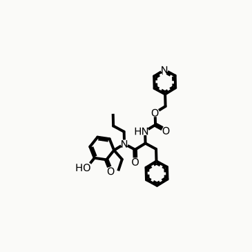 CCCN(C(=O)C(Cc1ccccc1)NC(=O)OCc1ccncc1)C1(CC)C=CC=C(O)C1=O